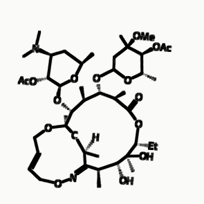 CC[C@H]1OC(=O)[C@H](C)[C@@H](OC2C[C@@](C)(OC)[C@@H](OC(C)=O)[C@H](C)O2)[C@H](C)[C@@H](O[C@@H]2O[C@H](C)C[C@H](N(C)C)[C@H]2OC(C)=O)[C@@]2(C)C[C@@H](C)/C(=N\OC/C=C/CO2)[C@H](C)[C@@H](O)[C@]1(C)O